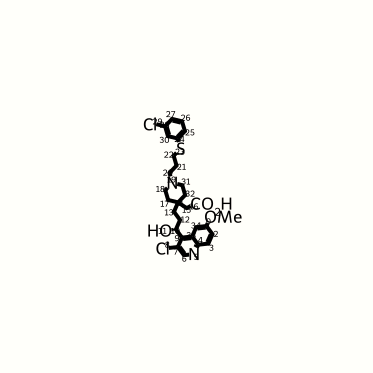 COc1ccc2ncc(Cl)c([C@@H](O)CCC3(CC(=O)O)CCN(CCCSc4cccc(Cl)c4)CC3)c2c1